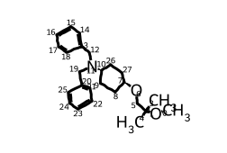 COC(C)(C)CO[C@H]1CC[C@H](N(Cc2ccccc2)Cc2ccccc2)CC1